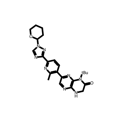 Cc1nc(-c2ncn(C3CCCCO3)n2)ccc1-c1cnc2c(n1)N(C(C)(C)C)C(=O)CN2